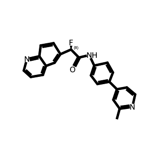 Cc1cc(-c2ccc(NC(=O)[C@H](F)c3ccc4ncccc4c3)cc2)ccn1